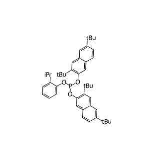 CC(C)c1ccccc1OP(Oc1cc2ccc(C(C)(C)C)cc2cc1C(C)(C)C)Oc1cc2ccc(C(C)(C)C)cc2cc1C(C)(C)C